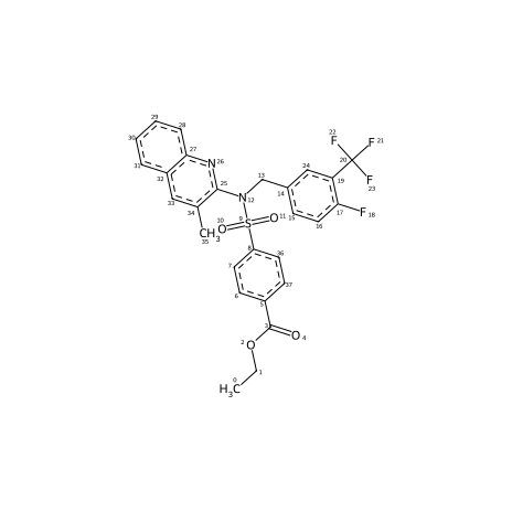 CCOC(=O)c1ccc(S(=O)(=O)N(Cc2ccc(F)c(C(F)(F)F)c2)c2nc3ccccc3cc2C)cc1